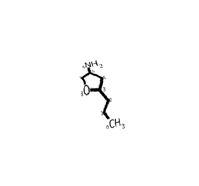 CCCC1CC(N)CO1